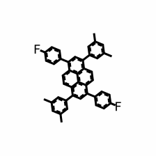 Cc1cc(C)cc(-c2cc(-c3ccc(F)cc3)c3ccc4c(-c5cc(C)cc(C)c5)cc(-c5ccc(F)cc5)c5ccc2c3c54)c1